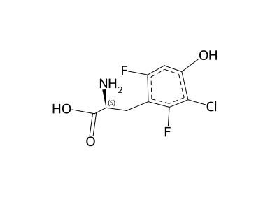 N[C@@H](Cc1c(F)cc(O)c(Cl)c1F)C(=O)O